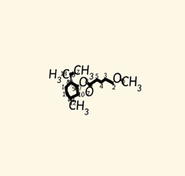 COCCCCC(=O)O[C@@H]1C[C@H](C)CC[C@H]1C(C)C